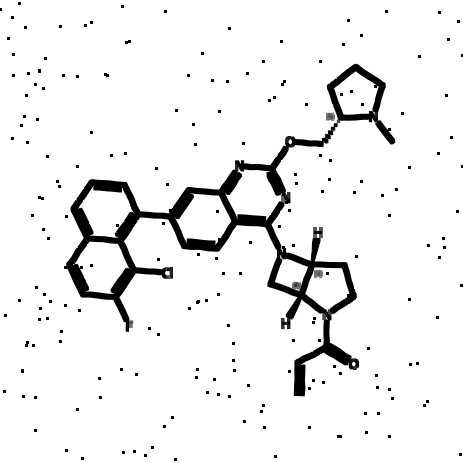 C=CC(=O)N1CC[C@@H]2[C@H]1CN2c1nc(OC[C@@H]2CCCN2C)nc2cc(-c3cccc4ccc(F)c(Cl)c34)ccc12